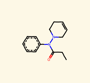 CCC(=O)N(c1ccccc1)N1CC=CCC1